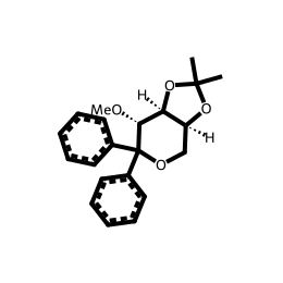 CO[C@@H]1[C@H]2OC(C)(C)O[C@H]2COC1(c1ccccc1)c1ccccc1